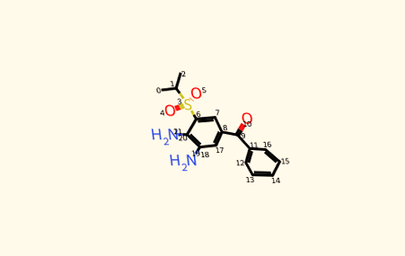 CC(C)S(=O)(=O)c1cc(C(=O)c2ccccc2)cc(N)c1N